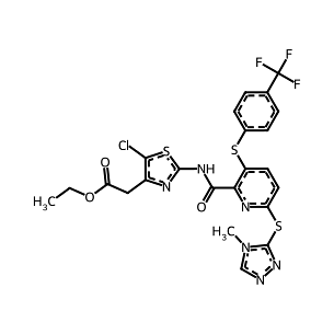 CCOC(=O)Cc1nc(NC(=O)c2nc(Sc3nncn3C)ccc2Sc2ccc(C(F)(F)F)cc2)sc1Cl